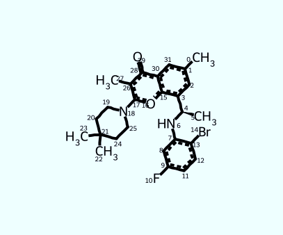 Cc1cc([C@@H](C)Nc2cc(F)ccc2Br)c2oc(N3CCC(C)(C)CC3)c(C)c(=O)c2c1